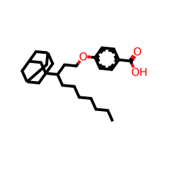 CCCCCCCC(CCOc1ccc(C(=O)O)cc1)C12CC3CC(CC(C3)C1)C2